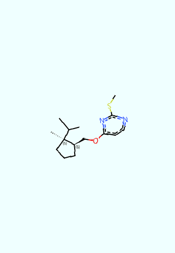 CSc1nccc(OC[C@H]2CCC[C@@]2(C)C(C)C)n1